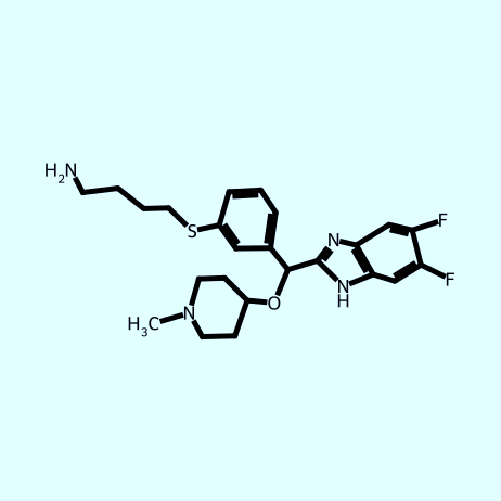 CN1CCC(OC(c2cccc(SCCCCN)c2)c2nc3cc(F)c(F)cc3[nH]2)CC1